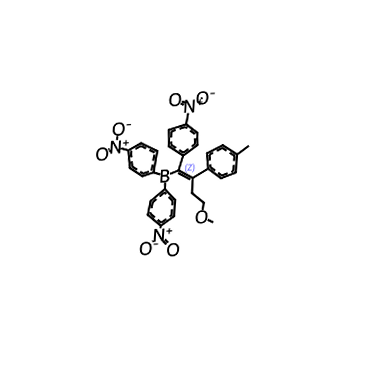 COCC/C(=C(\B(c1ccc([N+](=O)[O-])cc1)c1ccc([N+](=O)[O-])cc1)c1ccc([N+](=O)[O-])cc1)c1ccc(C)cc1